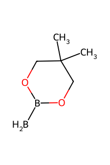 BB1OCC(C)(C)CO1